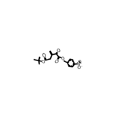 C=C(CC(=O)OC(C)(C)C)C(=O)C(=O)OCc1ccc([N+](=O)[O-])cc1